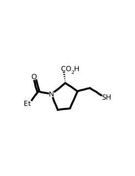 CCC(=O)N1CCC(CS)[C@H]1C(=O)O